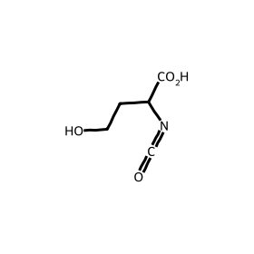 O=C=NC(CCO)C(=O)O